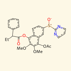 CCC(C(=O)Oc1c(OC)c(OC)c(OC(C)=O)c2cc([S+]([O-])c3ncccn3)ccc12)c1ccccc1